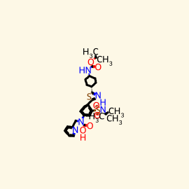 CC(C)OC(=O)N[C@H]1CC[C@H](c2ncc(-c3ccc(N(Cc4ccccn4)C(=O)O)cc3S(=O)(=O)NC(C)(C)C)s2)CC1